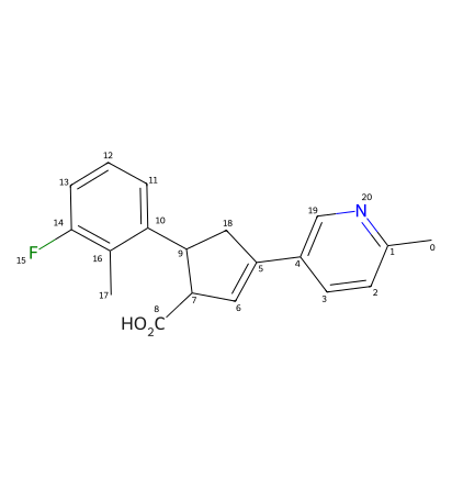 Cc1ccc(C2=CC(C(=O)O)C(c3cccc(F)c3C)C2)cn1